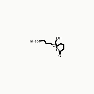 CCCCCCCCCCC[C@]1(CO)CCCC(=O)O1